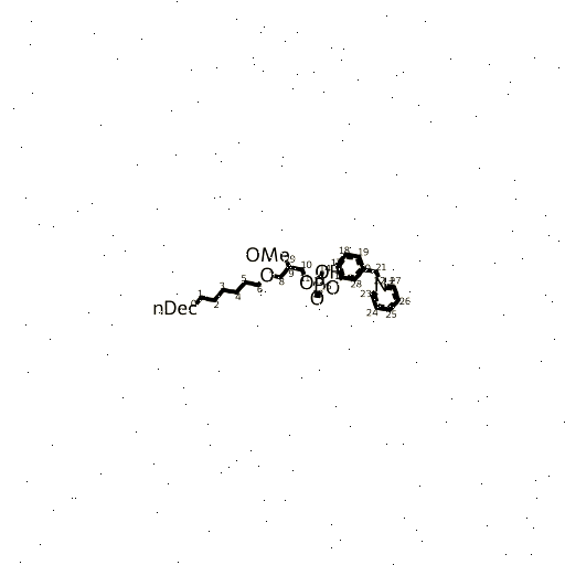 CCCCCCCCCCCCCCCCOCC(COP(=O)(O)Oc1cccc(C[n+]2ccccc2)c1)OC